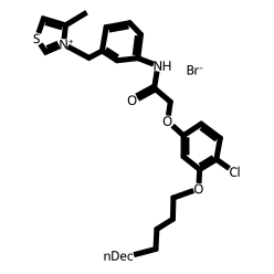 CCCCCCCCCCCCCCOc1cc(OCC(=O)Nc2cccc(C[n+]3cscc3C)c2)ccc1Cl.[Br-]